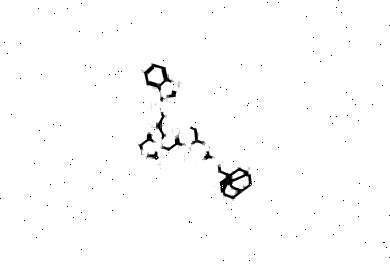 O=C(O)CC(NC(=O)C[N+]1(CCCNn2cnc3ccccc32)C(=O)CNC1=S)NC(=O)OCC12CC3CC(CC(C3)C1)C2